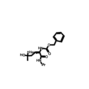 CCCCCCCC(C)(O)C/C=C(/NC(=O)OCc1ccccc1)C(=O)NC(C)C